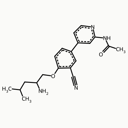 CC(=O)Nc1cc(-c2ccc(OCC(N)CC(C)C)c(C#N)c2)ccn1